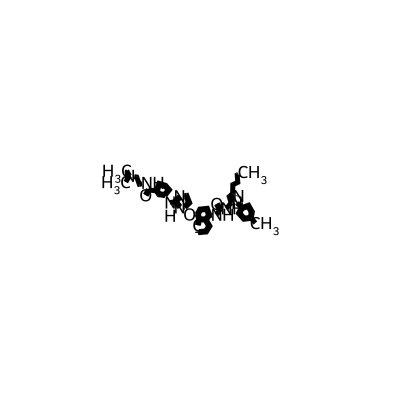 CCCCc1cc(NC(=O)Nc2ccc(Oc3ccnc(Nc4cccc(C(=O)NCCN(C)C)c4)n3)c3ccccc23)n(-c2ccc(C)cc2)n1